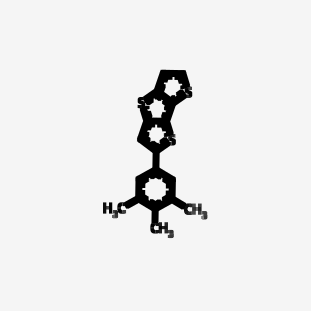 Cc1cc(-c2cc3sc4ccsc4c3s2)cc(C)c1C